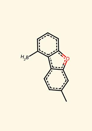 Bc1cccc2oc3cc(C)ccc3c12